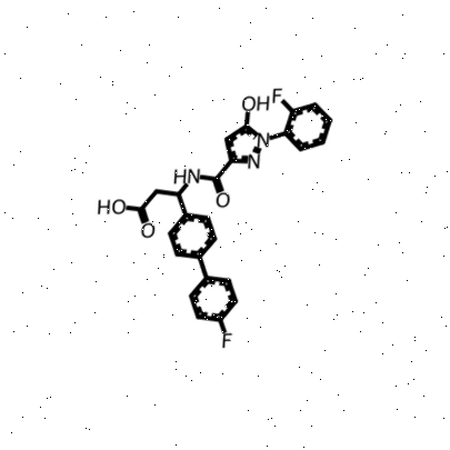 O=C(O)CC(NC(=O)c1cc(O)n(-c2ccccc2F)n1)c1ccc(-c2ccc(F)cc2)cc1